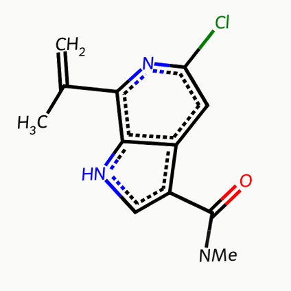 C=C(C)c1nc(Cl)cc2c(C(=O)NC)c[nH]c12